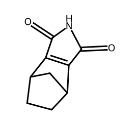 O=C1NC(=O)C2=C1C1CCC2C1